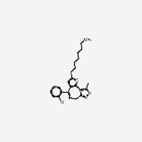 CC(=O)OCCCCCCCc1cc2c(s1)-n1c(C)nnc1CN=C2c1ccccc1Cl